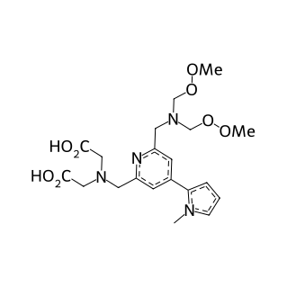 COOCN(COOC)Cc1cc(-c2cccn2C)cc(CN(CC(=O)O)CC(=O)O)n1